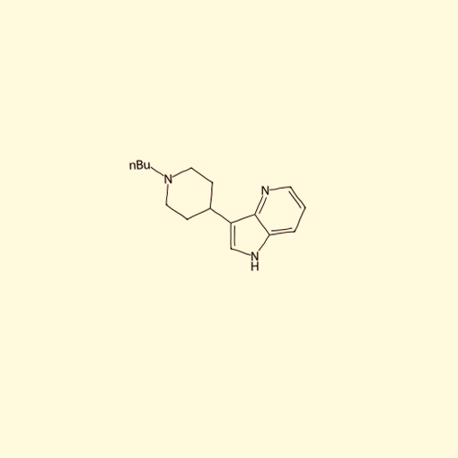 CCCCN1CCC(c2c[nH]c3cccnc23)CC1